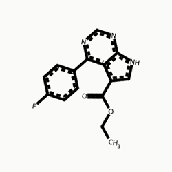 CCOC(=O)c1c[nH]c2ncnc(-c3ccc(F)cc3)c12